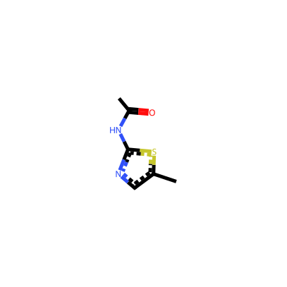 CC(=O)Nc1ncc(C)s1